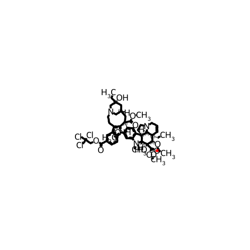 CC[C@]1(O)C[C@H]2CN(CCc3c([nH]c4ccc(C(=O)OCC(Cl)(Cl)Cl)cc34)[C@@](C(=O)OC)(c3cc4c(cc3OC)N(C)[C@H]3[C@@](O)(C(=O)OC)[C@H](OC(C)=O)[C@]5(CC)C=CCN6CC[C@]43[C@@H]65)C2)C1